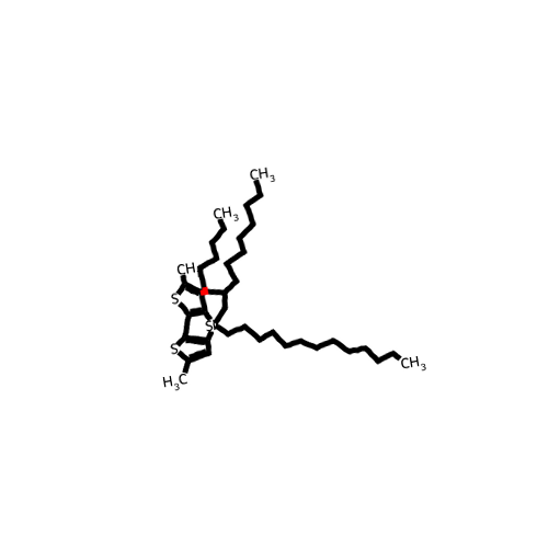 CCCCCCCCCCCCC[Si]1(CC(CCCCCC)CCCCCCCC)c2cc(C)sc2-c2sc(C)cc21